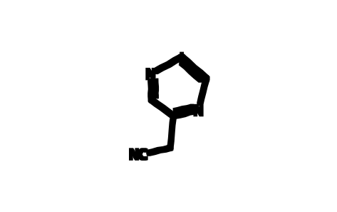 N#CCc1cn[c]cn1